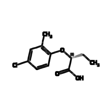 CC[C@@H](Oc1ccc(Cl)cc1C)C(=O)O